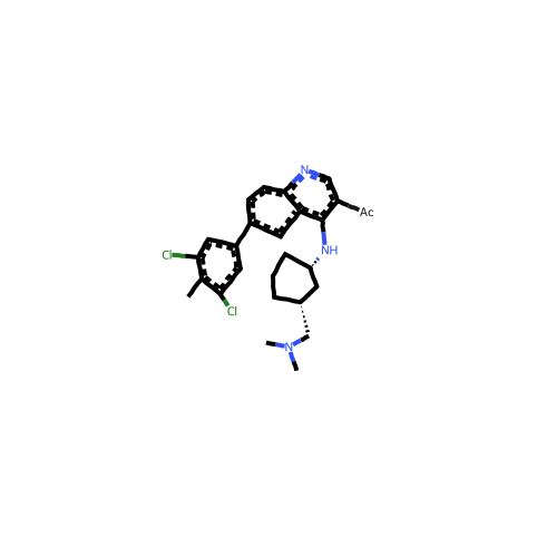 CC(=O)c1cnc2ccc(-c3cc(Cl)c(C)c(Cl)c3)cc2c1N[C@H]1CCC[C@@H](CN(C)C)C1